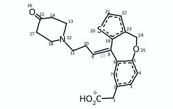 O=C(O)Cc1ccc2c(c1)/C(=C/CCN1CCC(=O)CC1)c1sccc1CO2